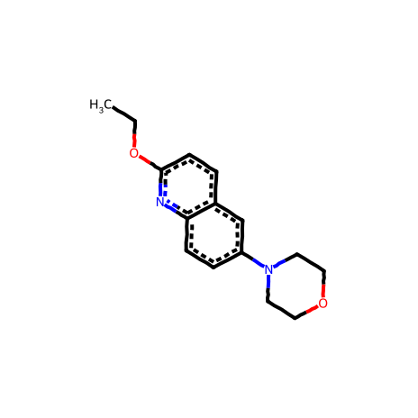 CCOc1ccc2cc(N3CCOCC3)ccc2n1